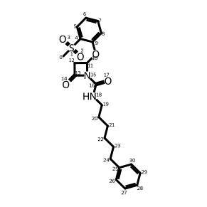 CS(=O)(=O)c1ccccc1OC1CC(=O)N1C(=O)NCCCCCCc1ccccc1